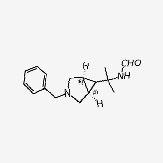 CC(C)(NC=O)C1[C@H]2CN(Cc3ccccc3)C[C@@H]12